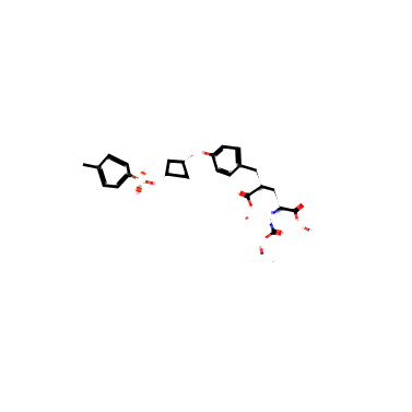 Cc1ccc(S(=O)(=O)O[C@H]2C[C@H](Oc3ccc(C[C@@H](C[C@H](NC(=O)OC(C)(C)C)C(=O)OC(C)(C)C)C(=O)OC(C)(C)C)cc3)C2)cc1